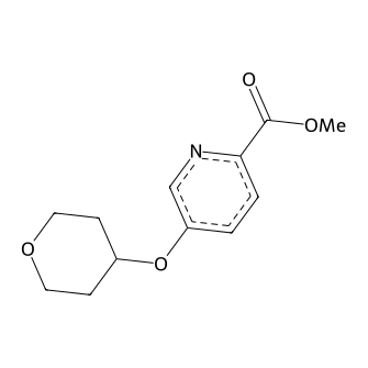 COC(=O)c1ccc(OC2CCOCC2)cn1